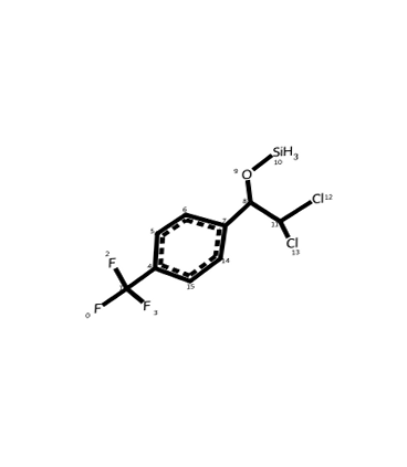 FC(F)(F)c1ccc(C(O[SiH3])C(Cl)Cl)cc1